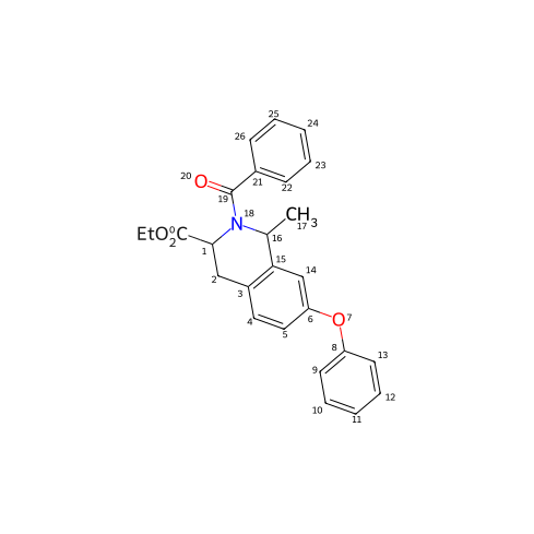 CCOC(=O)C1Cc2ccc(Oc3ccccc3)cc2C(C)N1C(=O)c1ccccc1